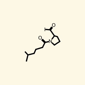 CC(C)CCCC(=O)N1CCCC1C(=O)I